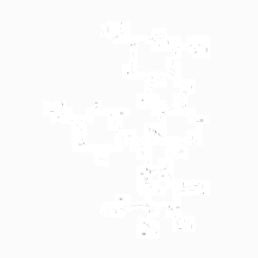 COc1cc2c(cc1CC(C)C)-n1c(C3=CCN(C)CC3)nc(C(=O)N(C)C(C)(C)C)c1CC2